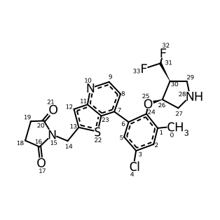 Cc1cc(Cl)cc(-c2ccnc3cc(CN4C(=O)CCC4=O)sc23)c1O[C@@H]1CNC[C@@H]1C(F)F